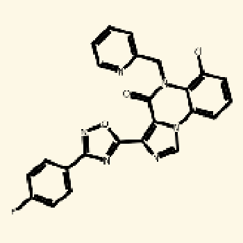 O=c1c2c(-c3nc(-c4ccc(F)cc4)no3)ncn2c2cccc(Cl)c2n1Cc1ccccn1